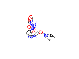 CCCN(CCOc1ccc(-c2[nH]nc3c2C(=O)c2c(NC(=O)NN4CCOCC4)cccc2-3)cc1)CC1CC1